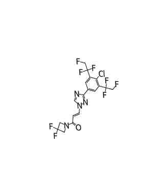 O=C(C=Cn1cnc(-c2cc(C(F)(F)CF)c(Cl)c(C(F)(F)CF)c2)n1)N1CC(F)(F)C1